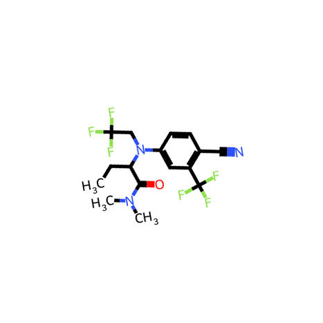 CCC(C(=O)N(C)C)N(CC(F)(F)F)c1ccc(C#N)c(C(F)(F)F)c1